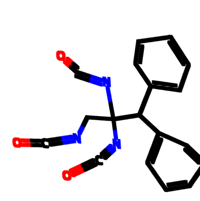 O=C=NCC(N=C=O)(N=C=O)C(c1ccccc1)c1ccccc1